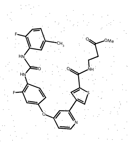 COC(=O)CCNC(=O)c1cc(-c2cc(Oc3ccc(NC(=O)Nc4cc(C)ccc4F)c(F)c3)ccn2)cs1